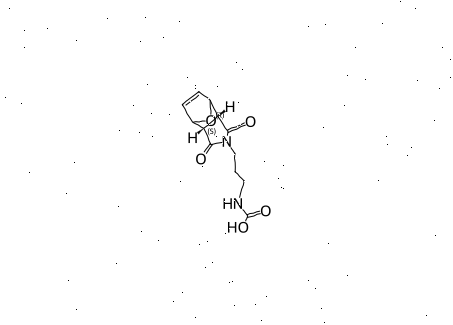 O=C(O)NCCCN1C(=O)[C@@H]2C3C=CC(O3)[C@@H]2C1=O